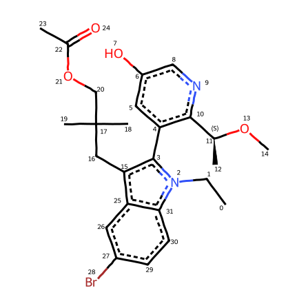 CCn1c(-c2cc(O)cnc2[C@H](C)OC)c(CC(C)(C)COC(C)=O)c2cc(Br)ccc21